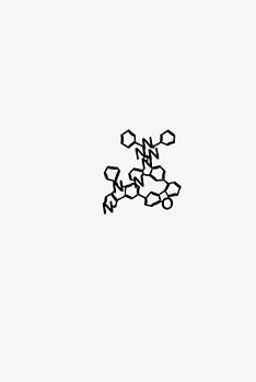 c1ccc(-c2nc(-c3ccccc3)nc(-n3c4ccc(-c5cccc6oc7ccc(-c8ccc9c(c8)c8cnccc8n9-c8ccccc8)cc7c56)cc4c4ncccc43)n2)cc1